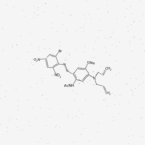 C=CCN(CC=C)c1cc(NC(C)=O)c(N=Nc2c(Br)cc([N+](=O)[O-])cc2[N+](=O)[O-])cc1OC